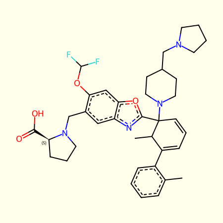 Cc1ccccc1C1=CC=CC(c2nc3cc(CN4CCC[C@H]4C(=O)O)c(OC(F)F)cc3o2)(N2CCC(CN3CCCC3)CC2)C1C